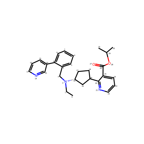 CCN(Cc1ccccc1-c1cccnc1)[C@@H]1CCC(c2ncccc2C(=O)OC(C)C)C1